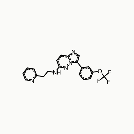 FC(F)(F)Oc1cccc(-c2cnc3ccc(NCCc4ccccn4)nn23)c1